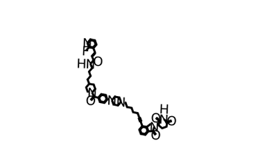 O=C(/C=C/c1cccnc1F)NCCCCC1CCN(C(=O)c2ccc(N3CCN(CCCCCC#Cc4cccc5c4CN(C4CCC(=O)NC4=O)C5=O)CC3)cc2)CC1